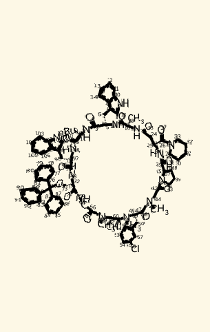 CCCC[C@@H]1NC(=O)[C@H](Cc2c[nH]c3ccccc23)NC(=O)[C@H](C)NC(=O)C[C@@H](C(=O)N2CCCCC2)NC(=O)[C@@H]2CCCN2C(=O)CN(C)C(=O)[C@H](Cc2cccc(Cl)c2)N(C)C(=O)[C@H](C)N(C)C(=O)CNC(=O)[C@H](COC(c2ccccc2)(c2ccccc2)c2ccccc2)NC(=O)[C@H](Cc2c[nH]c3ccccc23)NC1=O